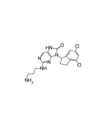 NCCCNc1ncc2[nH]c(=O)n(C3CCc4c(Cl)cc(Cl)cc43)c2n1